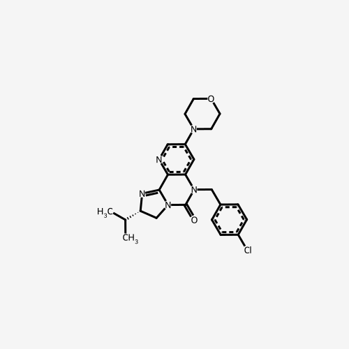 CC(C)[C@H]1CN2C(=O)N(Cc3ccc(Cl)cc3)c3cc(N4CCOCC4)cnc3C2=N1